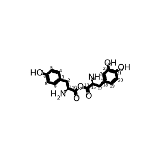 N[C@@H](Cc1ccc(O)cc1)C(=O)OC(=O)[C@@H](N)Cc1ccc(O)c(O)c1